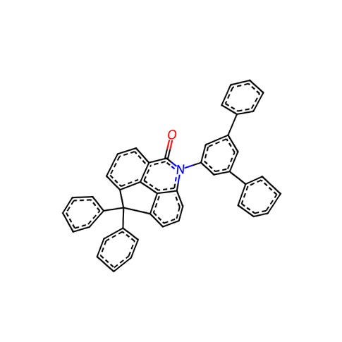 O=c1c2cccc3c2c2c(cccc2n1-c1cc(-c2ccccc2)cc(-c2ccccc2)c1)C3(c1ccccc1)c1ccccc1